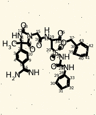 CC1(c2ccc(C(=N)N)cc2)NC(=O)N(CC(=O)NC(CS(=O)(=O)NC(=O)Nc2ccccc2)C(=O)OCc2ccccc2)C1=O